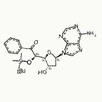 CC(C)(C)[Si](C)(C)O[C@@H](C(=O)c1ccccc1)[C@H]1O[C@@H](n2cnc3c(N)ncnc32)C[C@@H]1O